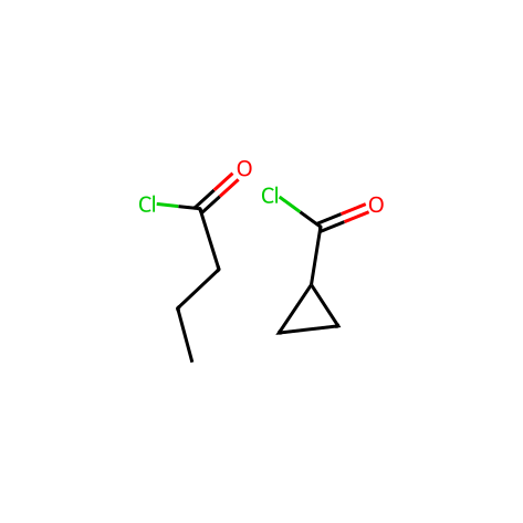 CCCC(=O)Cl.O=C(Cl)C1CC1